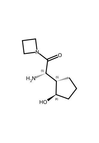 N[C@H](C(=O)N1CCC1)[C@@H]1CCC[C@H]1O